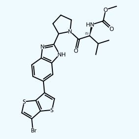 COC(=O)N[C@H](C(=O)N1CCCC1c1nc2ccc(-c3csc4c(Br)csc34)cc2[nH]1)C(C)C